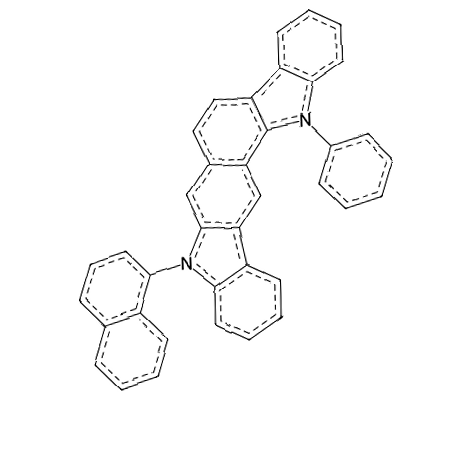 c1ccc(-n2c3ccccc3c3ccc4cc5c(cc4c32)c2ccccc2n5-c2cccc3ccccc23)cc1